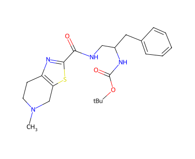 CN1CCc2nc(C(=O)NCC(Cc3ccccc3)NC(=O)OC(C)(C)C)sc2C1